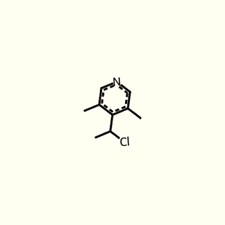 Cc1cncc(C)c1C(C)Cl